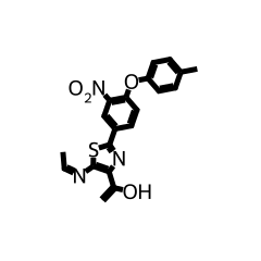 C=C(O)c1nc(-c2ccc(Oc3ccc(C)cc3)c([N+](=O)[O-])c2)sc1/N=C\C